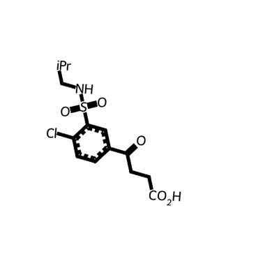 CC(C)CNS(=O)(=O)c1cc(C(=O)CCC(=O)O)ccc1Cl